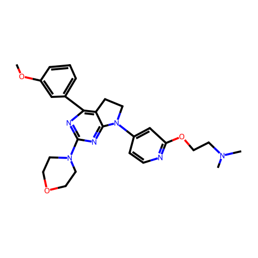 COc1cccc(-c2nc(N3CCOCC3)nc3c2CCN3c2ccnc(OCCN(C)C)c2)c1